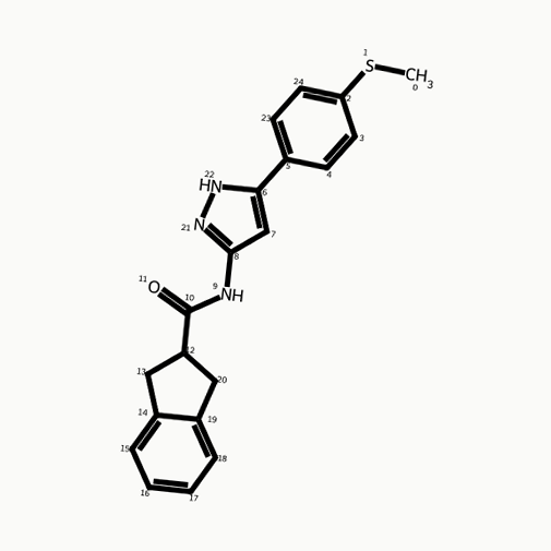 CSc1ccc(-c2cc(NC(=O)C3Cc4ccccc4C3)n[nH]2)cc1